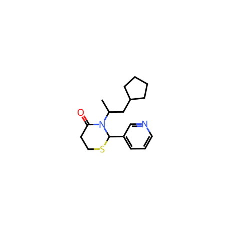 CC(CC1CCCC1)N1C(=O)CCSC1c1cccnc1